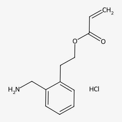 C=CC(=O)OCCc1ccccc1CN.Cl